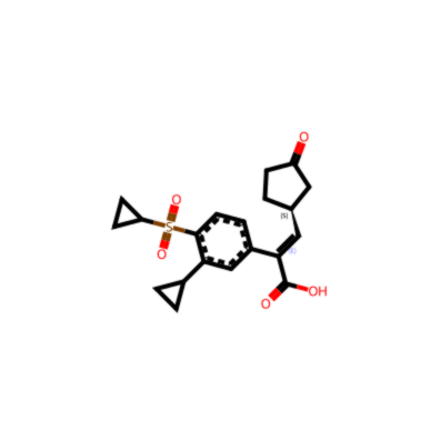 O=C1CC[C@H](/C=C(/C(=O)O)c2ccc(S(=O)(=O)C3CC3)c(C3CC3)c2)C1